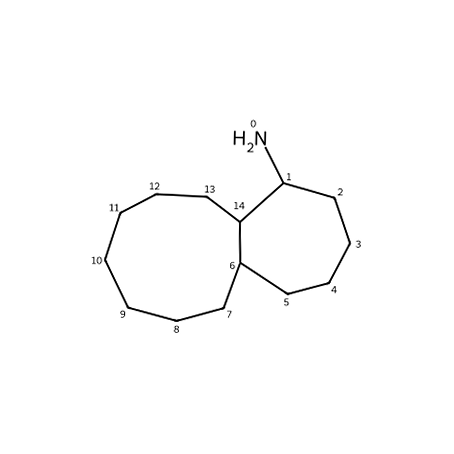 NC1CCCCC2CCCCCCCC12